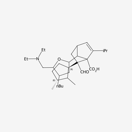 CCCCC1CC(C2C3C=C(C(C)C)C2(C(=O)O)C(C=O)([C@@H]2CC[C@@H](C)C2C)C3)OC1CN(CC)CC